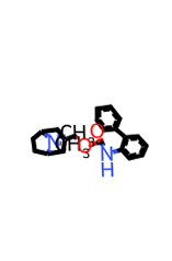 C[N+]1(C)C2CCC1CC(COC(=O)Nc1ccccc1-c1ccccc1)C2